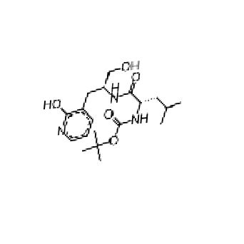 CC(C)C[C@H](NC(=O)OC(C)(C)C)C(=O)N[C@H](CO)Cc1cccnc1O